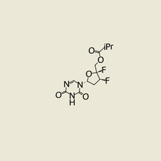 CC(C)C(=O)OC[C@@]1(F)O[C@@H](n2cnc(=O)[nH]c2=O)C[C@@H]1F